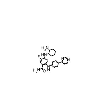 NC(=O)c1cc(F)c(N[C@@H]2CCCC[C@@H]2N)nc1Nc1ccc(-c2ccncn2)cc1